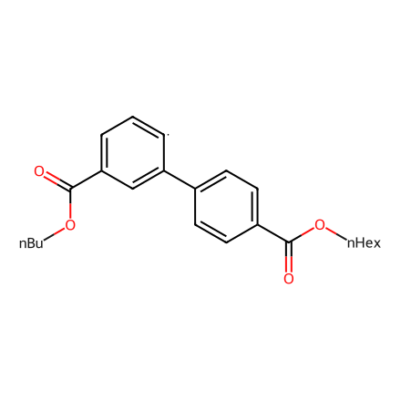 CCCCCCOC(=O)c1ccc(-c2[c]ccc(C(=O)OCCCC)c2)cc1